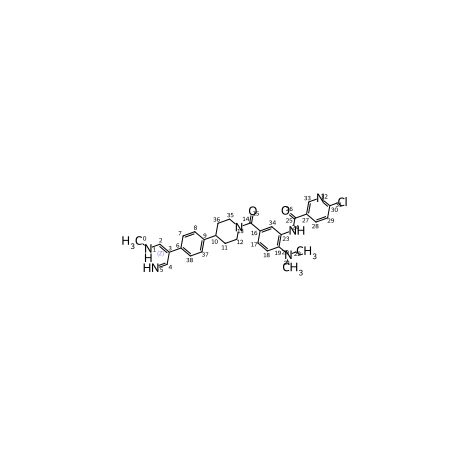 CN/C=C(\C=N)c1ccc(C2CCN(C(=O)c3ccc(N(C)C)c(NC(=O)c4ccc(Cl)nc4)c3)CC2)cc1